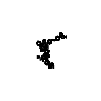 CC(C)N(Cc1cccc(C(=O)O)c1)S(=O)(=O)c1cccc(C(=O)Nc2sc3c(c2C(=O)Nc2ccc(CCc4ccc(C(=O)O)cc4)cc2)CCCC3)c1